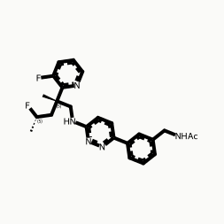 CC(=O)NCc1cccc(-c2ccc(NC[C@](C)(C[C@H](C)F)c3ncccc3F)nn2)c1